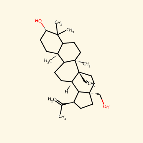 C=C[C@@]12CC[C@@]3(CO)CC[C@@H](C(=C)C)C3[C@H]1CCC1[C@@]3(C)CC[C@H](O)C(C)(C)C3CC[C@]12C